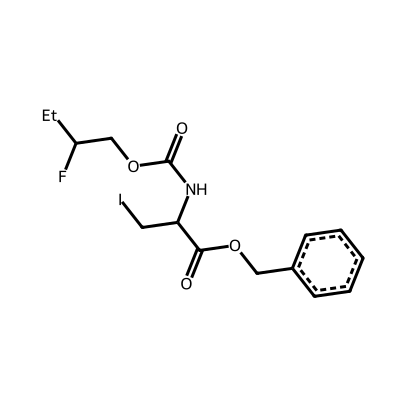 CCC(F)COC(=O)NC(CI)C(=O)OCc1ccccc1